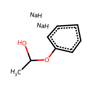 CC(O)Oc1ccccc1.[NaH].[NaH]